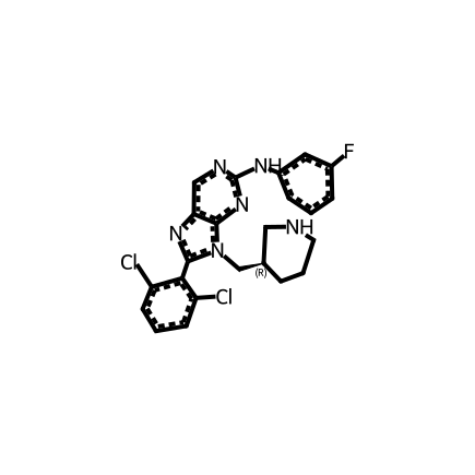 Fc1cccc(Nc2ncc3nc(-c4c(Cl)cccc4Cl)n(C[C@@H]4CCCNC4)c3n2)c1